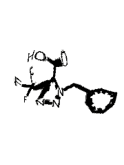 O=C(O)c1c(C(F)(F)F)nnn1Cc1ccccc1